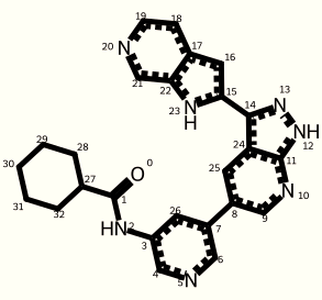 O=C(Nc1cncc(-c2cnc3[nH]nc(-c4cc5ccncc5[nH]4)c3c2)c1)C1CCCCC1